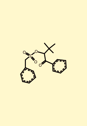 CC(C)(C)C(OS(=O)(=O)Cc1ccccc1)C(=O)c1ccccc1